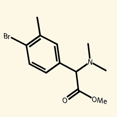 COC(=O)C(c1ccc(Br)c(C)c1)N(C)C